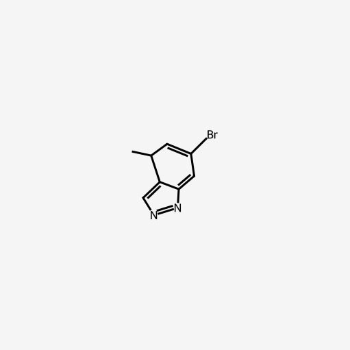 CC1C=C(Br)C=C2N=NC=C21